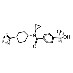 C[C@](O)(c1ccc(C(=O)N(C2CC2)[C@H]2CC[C@H](c3nccs3)CC2)cc1)C(F)(F)F